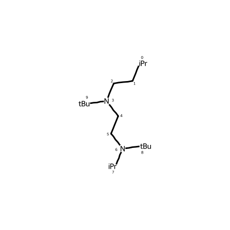 CC(C)CCN(CCN(C(C)C)C(C)(C)C)C(C)(C)C